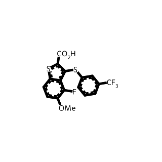 COc1ccc2sc(C(=O)O)c(Sc3cccc(C(F)(F)F)c3)c2c1F